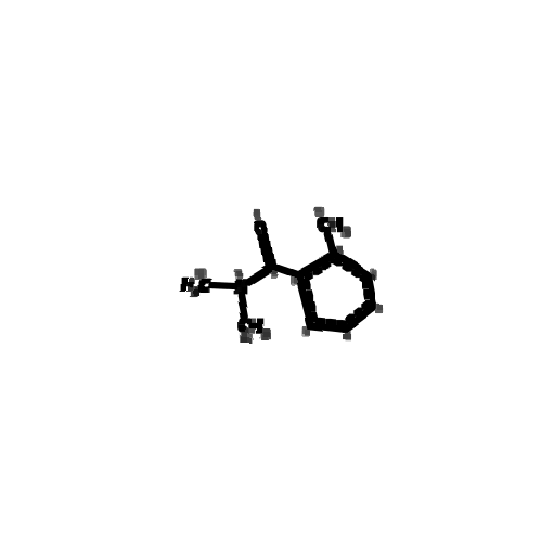 Cc1[c]cccc1C(=O)N(C)C